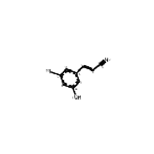 N#CC=Cc1cc(O)cc(I)c1